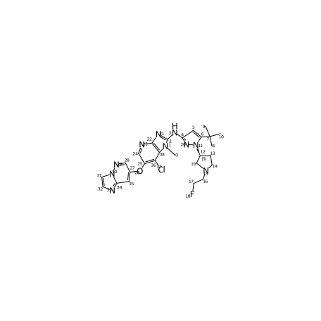 Cn1c(Nc2cc(C(C)(C)C)n([C@H]3CCN(CCF)C3)n2)nc2ncc(Oc3cnn4ccnc4c3)c(Cl)c21